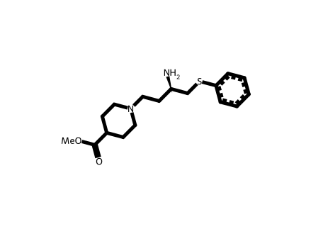 COC(=O)C1CCN(CC[C@@H](N)CSc2ccccc2)CC1